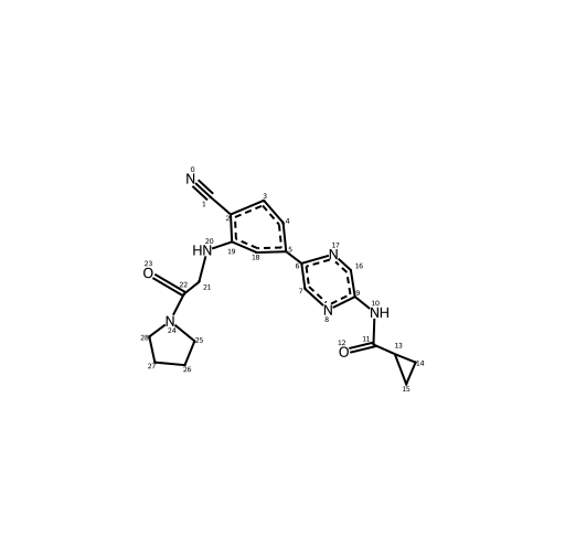 N#Cc1ccc(-c2cnc(NC(=O)C3CC3)cn2)cc1NCC(=O)N1CCCC1